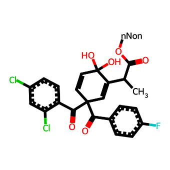 CCCCCCCCCOC(=O)C(C)C1=CC(C(=O)c2ccc(F)cc2)(C(=O)c2ccc(Cl)cc2Cl)C=CC1(O)O